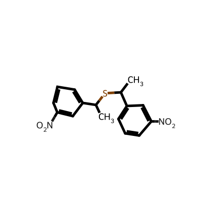 CC(SC(C)c1cccc([N+](=O)[O-])c1)c1cccc([N+](=O)[O-])c1